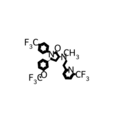 CN(CCc1cccc(C(F)(F)F)n1)[C@@H]1C[C@H](c2cccc(OC(F)(F)F)c2)N(c2ccc(C(F)(F)F)cc2)C1=O